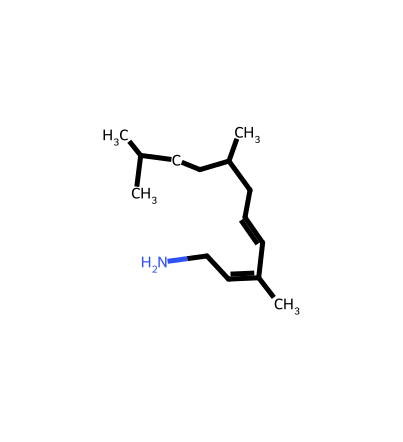 CC(C=CCC(C)CCC(C)C)=CCN